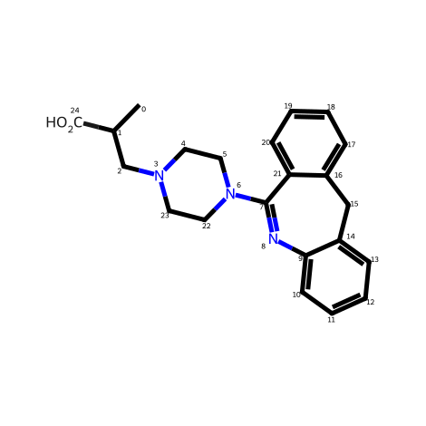 CC(CN1CCN(C2=Nc3ccccc3Cc3ccccc32)CC1)C(=O)O